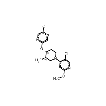 COc1cc(N2CC[C@@H](Oc3cnc(Cl)cn3)[C@H](C)C2)c(Cl)cn1